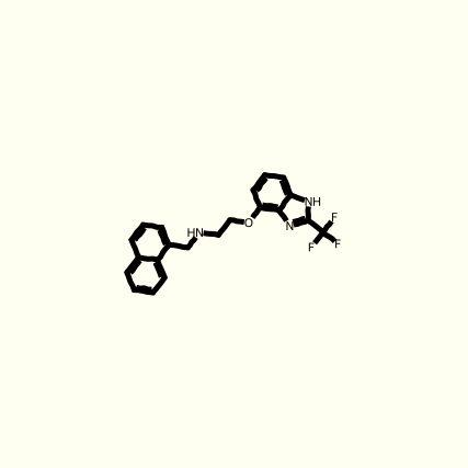 FC(F)(F)c1nc2c(OCCNCc3cccc4ccccc34)cccc2[nH]1